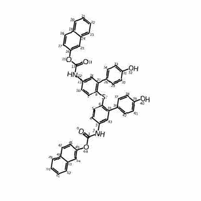 O=C(Nc1ccc(Sc2ccc(NC(=O)Oc3ccc4ccccc4c3)cc2-c2ccc(O)cc2)c(-c2ccc(O)cc2)c1)Oc1ccc2ccccc2c1